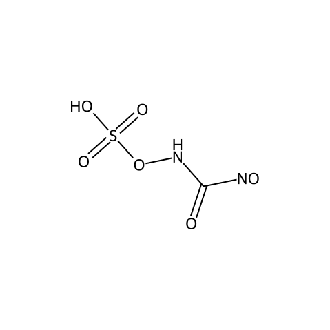 O=NC(=O)NOS(=O)(=O)O